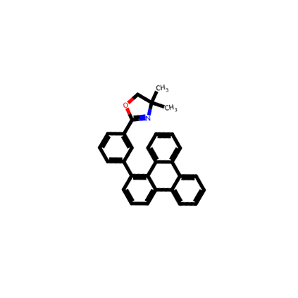 CC1(C)COC(c2cccc(-c3cccc4c5ccccc5c5ccccc5c34)c2)=N1